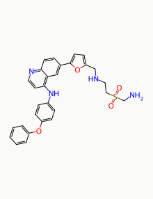 NCS(=O)(=O)CCNCc1ccc(-c2ccc3nccc(Nc4ccc(Oc5ccccc5)cc4)c3c2)o1